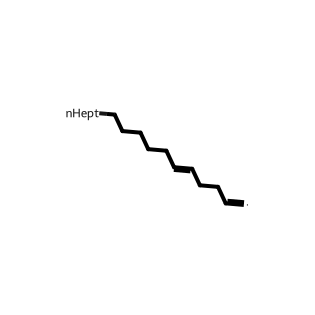 [CH]=CCCC=CCCCCCCCCCCCC